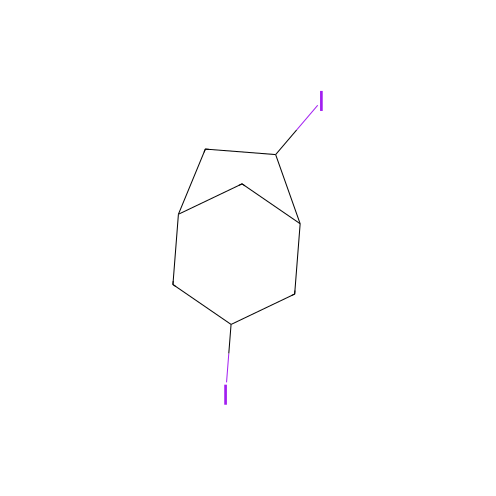 IC1CC2CC(I)C(C1)C2